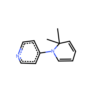 CC1(C)C=CC=CN1c1ccncc1